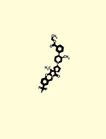 CCOC(=O)c1cccc([C@@H]2CCN([C@@H]3CC[C@@]4(C3)C(=O)N3Cc5cc(C(F)(F)F)ccc5OC3C4C)C[C@@H]2C)c1